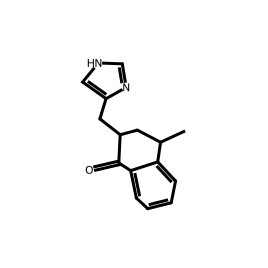 CC1CC(Cc2c[nH]cn2)C(=O)c2ccccc21